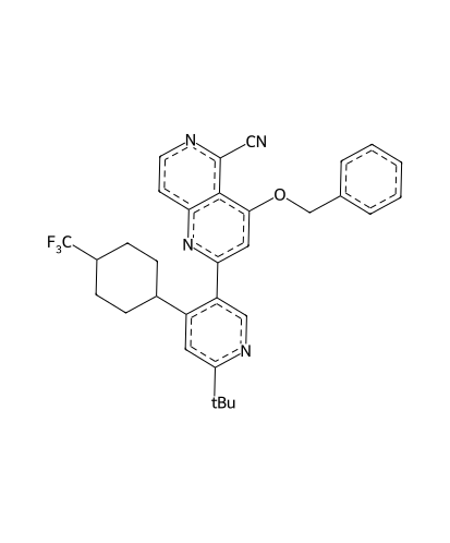 CC(C)(C)c1cc(C2CCC(C(F)(F)F)CC2)c(-c2cc(OCc3ccccc3)c3c(C#N)nccc3n2)cn1